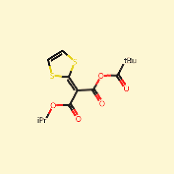 CC(C)OC(=O)C(C(=O)OC(=O)C(C)(C)C)=C1SC=CS1